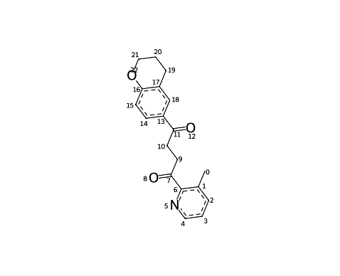 Cc1cccnc1C(=O)CCC(=O)c1ccc2c(c1)CCCO2